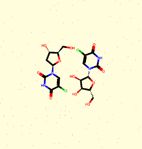 O=c1[nH]c(=O)n([C@@H]2O[C@H](CO)[C@@H](O)[C@H]2O)cc1Cl.O=c1[nH]c(=O)n([C@H]2C[C@H](O)[C@@H](CO)O2)cc1Cl